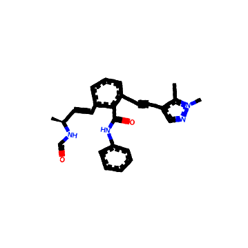 Cc1c(C#Cc2cccc(/C=C/[C@H](C)NC=O)c2C(=O)Nc2ccccc2)cnn1C